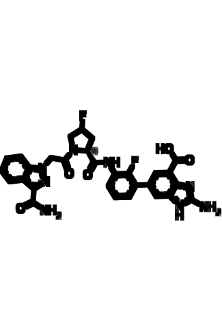 NC(=O)c1nn(CC(=O)N2CC(F)C[C@H]2C(=O)Nc2cccc(-c3cc(C(=O)O)c4nc(N)[nH]c4c3)c2F)c2ccccc12